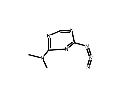 CN(C)c1ncnc(N=[N+]=[N-])n1